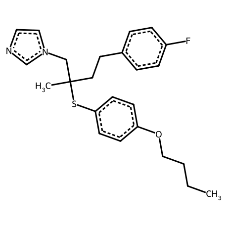 CCCCOc1ccc(SC(C)(CCc2ccc(F)cc2)Cn2ccnc2)cc1